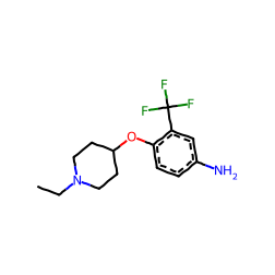 CCN1CCC(Oc2ccc(N)cc2C(F)(F)F)CC1